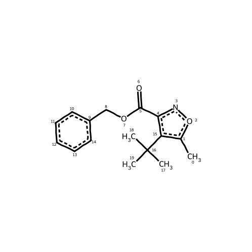 Cc1onc(C(=O)OCc2ccccc2)c1C(C)(C)C